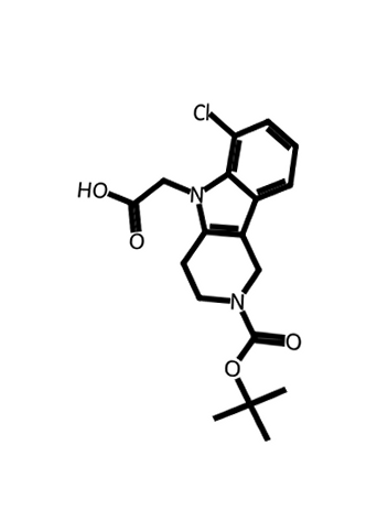 CC(C)(C)OC(=O)N1CCc2c(c3cccc(Cl)c3n2CC(=O)O)C1